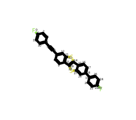 Fc1ccc(C#Cc2ccc3c(c2)sc2c4ccc(-c5ccc(F)cc5)cc4sc32)cc1